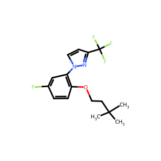 CC(C)(C)CCOc1ccc(F)cc1-n1ccc(C(F)(F)F)n1